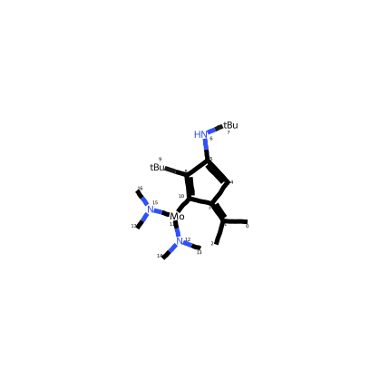 CC(C)=C1C=C(NC(C)(C)C)C(C(C)(C)C)=[C]1[Mo]([N](C)C)[N](C)C